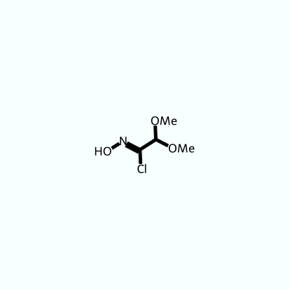 COC(OC)C(Cl)=NO